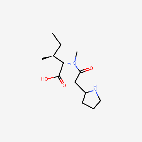 CC[C@H](C)[C@@H](C(=O)O)N(C)C(=O)CC1CCCN1